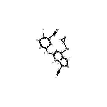 N#Cc1cc(Nc2cc(NC3CC3)c3ncc(C#N)n3n2)ccc1F